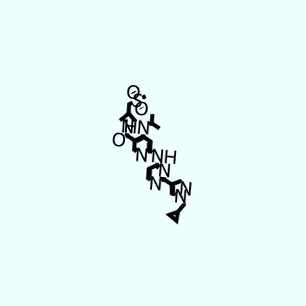 CC(C)Nc1cc(Nc2ccnc(-c3cnn(CC4CC4)c3)n2)ncc1C(=O)N1CC(CS(C)(=O)=O)C1